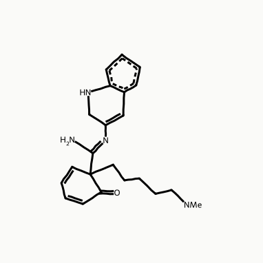 CNCCCCCC1(C(N)=NC2=Cc3ccccc3NC2)C=CC=CC1=O